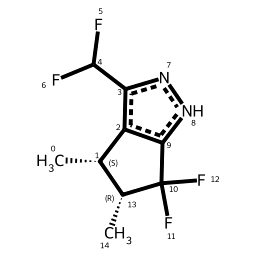 C[C@@H]1c2c(C(F)F)n[nH]c2C(F)(F)[C@@H]1C